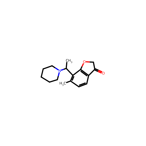 Cc1ccc2c(c1C(C)N1CCCCC1)OCC2=O